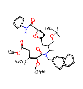 CCOC(=O)C(CC(=O)OC(C)(C)C)=C(OCOC)C(=O)N(Cc1ccc2ccccc2c1)C(C)C(CO[Si](C)(C)C(C)(C)C)Cc1ccc(C(=O)Nc2ccccc2)o1